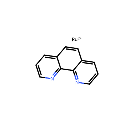 [Ru+2].c1cnc2c(c1)ccc1cccnc12